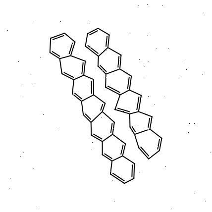 c1ccc2cc3cc4cc5cc6cc7ccccc7cc6cc5cc4cc3cc2c1.c1ccc2cc3cc4cc5cc6ccccc6cc5cc4cc3cc2c1